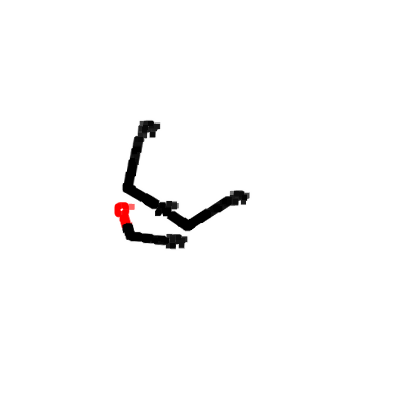 CC(C)C[O-].CC(C)[CH2][Al+][CH2]C(C)C